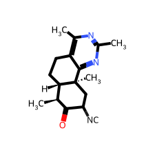 [C-]#[N+]C1C[C@]2(C)c3nc(C)nc(C)c3CC[C@H]2[C@H](C)C1=O